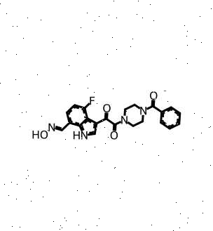 O=C(C(=O)N1CCN(C(=O)c2ccccc2)CC1)c1c[nH]c2c(C=NO)ccc(F)c12